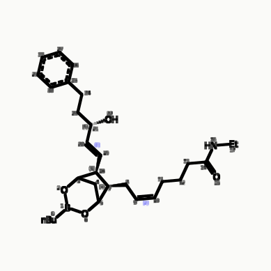 CCCCB1OC2CC(O1)[C@H](C/C=C\CCCC(=O)NCC)[C@@H]2/C=C/[C@@H](O)CCc1ccccc1